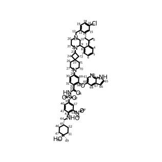 CC(C)c1ccccc1C1CN(Cc2ccc(Cl)cc2)CCN1C1CC2(CCN(c3ccc(C(=O)NS(=O)(=O)c4ccc(NC[C@H]5CC[C@](C)(O)CC5)c([N+](=O)[O-])c4)c(Oc4cnc5[nH]ccc5c4)c3)CC2)C1